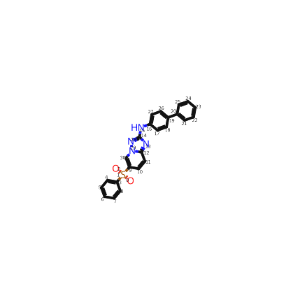 O=S(=O)(c1ccccc1)c1ccc2nc(Nc3ccc(-c4ccccc4)cc3)nn2c1